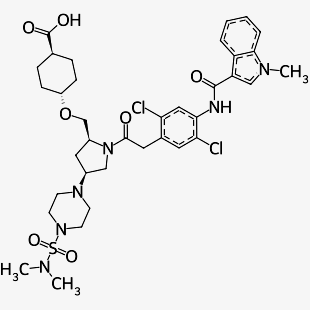 CN(C)S(=O)(=O)N1CCN([C@H]2C[C@@H](CO[C@H]3CC[C@H](C(=O)O)CC3)N(C(=O)Cc3cc(Cl)c(NC(=O)c4cn(C)c5ccccc45)cc3Cl)C2)CC1